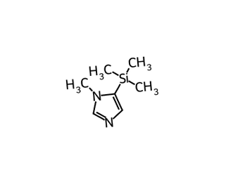 Cn1cncc1[Si](C)(C)C